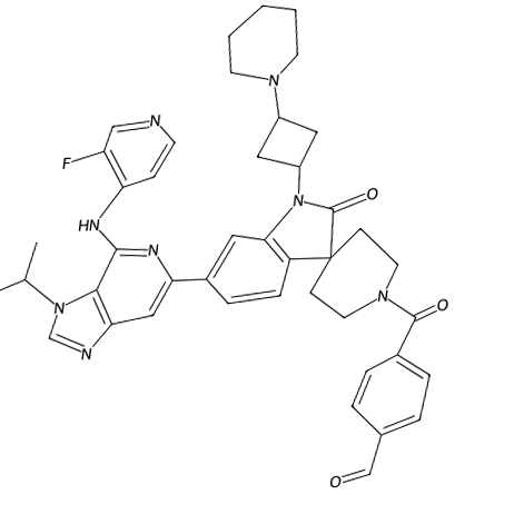 CC(C)n1cnc2cc(-c3ccc4c(c3)N(C3CC(N5CCCCC5)C3)C(=O)C43CCN(C(=O)c4ccc(C=O)cc4)CC3)nc(Nc3ccncc3F)c21